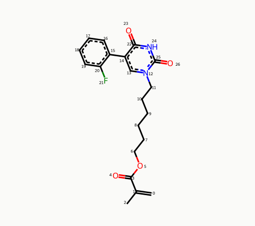 C=C(C)C(=O)OCCCCCCn1cc(-c2ccccc2F)c(=O)[nH]c1=O